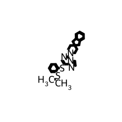 CC(C)Sc1ccccc1Sc1cnc(N2CCC3(CC2)Cc2ccccc2C3)n2ccnc12